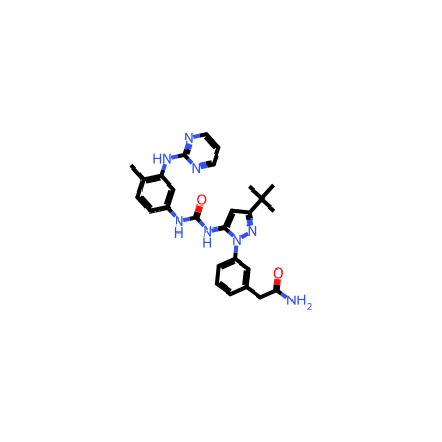 Cc1ccc(NC(=O)Nc2cc(C(C)(C)C)nn2-c2cccc(CC(N)=O)c2)cc1Nc1ncccn1